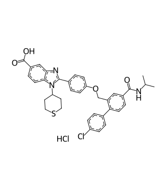 CC(C)NC(=O)c1ccc(-c2ccc(Cl)cc2)c(COc2ccc(-c3nc4cc(C(=O)O)ccc4n3C3CCSCC3)cc2)c1.Cl